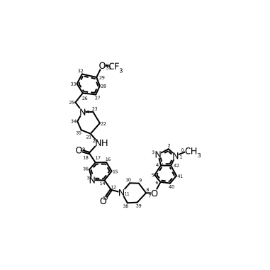 Cn1cnc2cc(OC3CCN(C(=O)c4ccc(C(=O)NC5CCN(Cc6ccc(OC(F)(F)F)cc6)CC5)cn4)CC3)ccc21